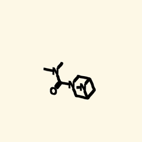 CN(C)C(=O)N1CC2CC(C1)N2C